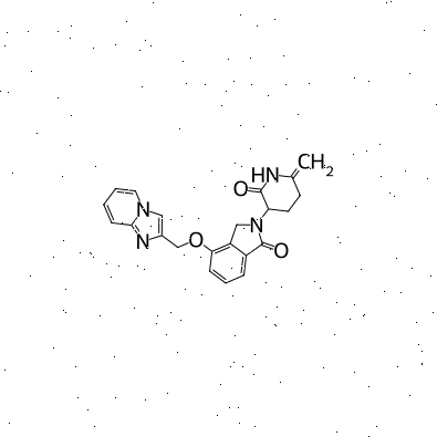 C=C1CCC(N2Cc3c(OCc4cn5ccccc5n4)cccc3C2=O)C(=O)N1